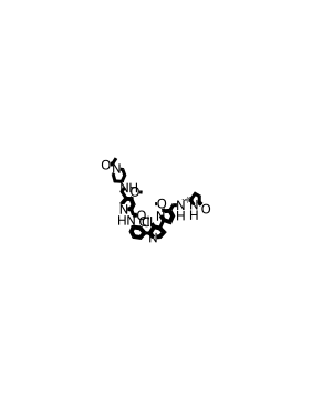 COc1cc(C(=O)Nc2cccc(-c3nccc(-c4ccc(CNC[C@@H]5CCC(=O)N5)c(OC)n4)c3Cl)c2Cl)ncc1CNC1CCN(C(C)=O)CC1